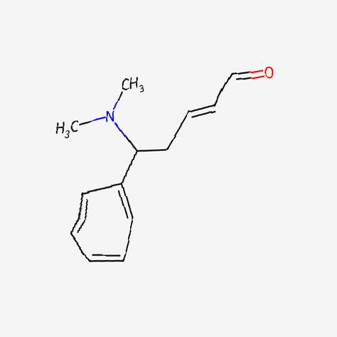 CN(C)C(CC=CC=O)c1ccccc1